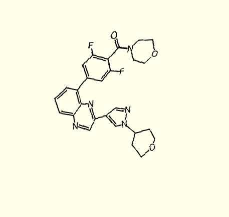 O=C(c1c(F)cc(-c2cccc3ncc(-c4cnn(C5CCOCC5)c4)nc23)cc1F)N1CCOCC1